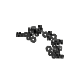 COC(=O)N[C@@H](C(=O)N1CCC[C@H]1C1=NCC(c2ccc3nc4cc(C5CN=C([C@@H]6CCCN6C(=O)[C@H](NC(=O)OC)c6ccccc6)N5)ccc4nc3c2)N1)c1ccccc1